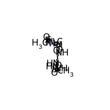 CCN(CCOC(=O)NCCCCCCNC(=O)Nc1nc(=O)cc(C)[nH]1)c1ccc(/N=N/c2nc(C)c(C=O)s2)cc1